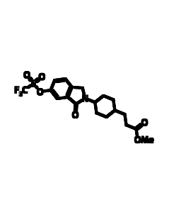 COC(=O)CCC1CCC(N2Cc3ccc(OS(=O)(=O)C(F)(F)F)cc3C2=O)CC1